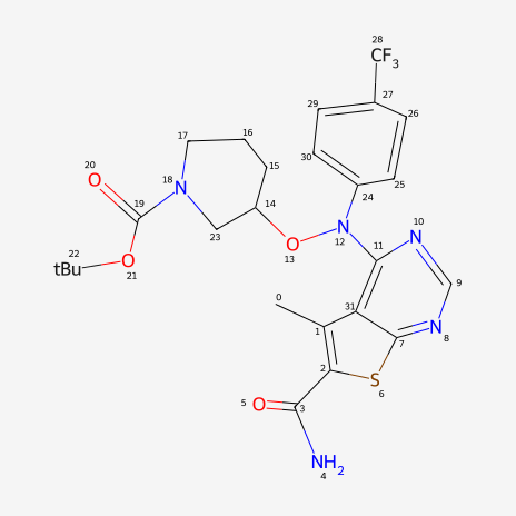 Cc1c(C(N)=O)sc2ncnc(N(OC3CCCN(C(=O)OC(C)(C)C)C3)c3ccc(C(F)(F)F)cc3)c12